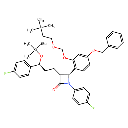 CC(C)(C)[Si](C)(C)O[C@@H](CCC1C(=O)N(c2ccc(F)cc2)[C@@H]1c1ccc(OCc2ccccc2)cc1OCOCC[Si](C)(C)C)c1ccc(F)cc1